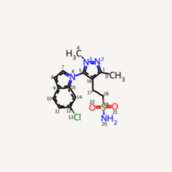 Cc1nn(C)c(-n2ccc3ccc(Cl)cc32)c1CCS(N)(=O)=O